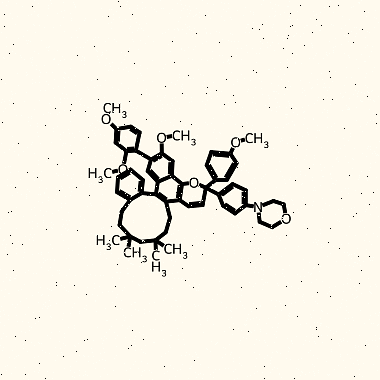 COc1ccc(C2(c3ccc(N4CCOCC4)cc3)C=Cc3c4c(c5cc(-c6ccc(OC)cc6OC)c(OC)cc5c3O2)-c2ccccc2CCC(C)(C)CC(C)(C)CC4)cc1